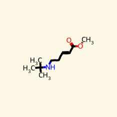 COC(=O)C=CCCNC(C)(C)C